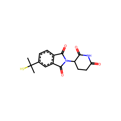 CC(C)(S)c1ccc2c(c1)C(=O)N(C1CCC(=O)NC1=O)C2=O